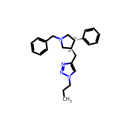 CCCn1cc(C[C@H]2CN(Cc3ccccc3)C[C@@H]2c2ccccc2)nn1